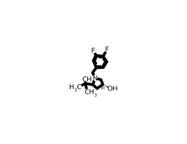 CC(C)(C)C1C[C@@H](O)CN1Cc1ccc(F)c(F)c1